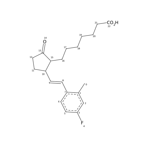 Cc1cc(F)ccc1/C=C/C1CCC(=O)C1CCCCCCC(=O)O